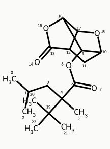 CC(C)CC(C)(C(=O)OC1C2CC3C(=O)OC1C3O2)C(C)(C)C